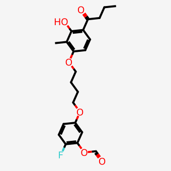 CCCC(=O)c1ccc(OCCCCOc2ccc(F)c(OC=O)c2)c(C)c1O